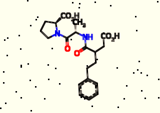 C[C@H](NC(=O)C(CCc1ccccc1)CC(=O)O)C(=O)N1CCC[C@H]1C(=O)O